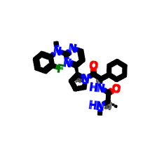 CN[C@@H](C)C(=O)N[C@H](C(=O)N1CCC[C@H]1c1ccnc(N(C)c2ccccc2F)n1)C1CCCCC1